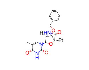 CC[C@]12O[C@@H](n3cc(C)c(=O)[nH]c3=O)[C@@H](NC1=O)C2OCc1ccccc1